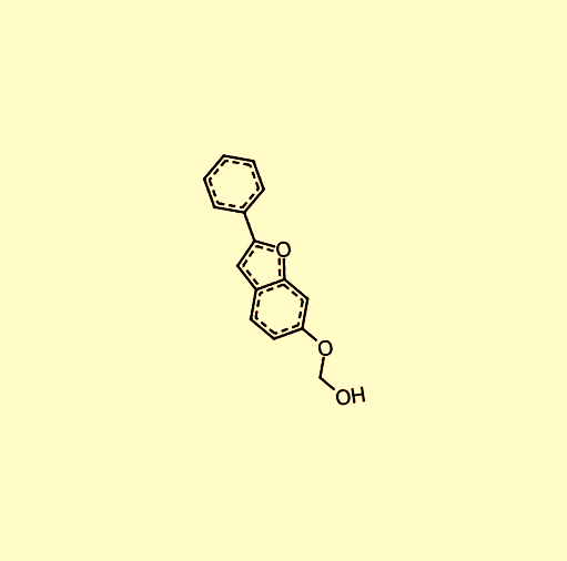 OCOc1ccc2cc(-c3ccccc3)oc2c1